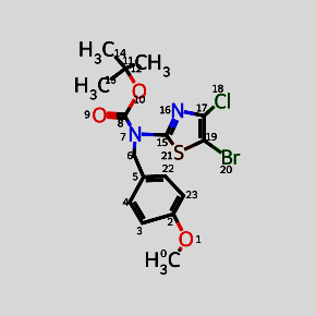 COc1ccc(CN(C(=O)OC(C)(C)C)c2nc(Cl)c(Br)s2)cc1